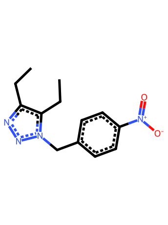 CCc1nnn(Cc2ccc([N+](=O)[O-])cc2)c1CC